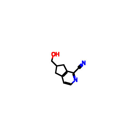 N#Cc1nccc2c1CC(CO)C2